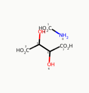 NC(=O)O.O=C(O)C(O)C(O)C(=O)O